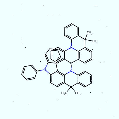 CC1(C)c2ccccc2N2c3ccccc3B(N3c4ccccc4C(C)(C)c4ccc5c(c43)c3ccccc3n5-c3ccccc3)c3cccc1c32